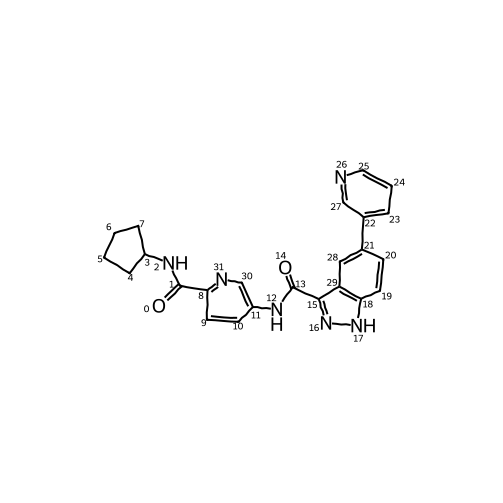 O=C(NC1CCCC1)c1ccc(NC(=O)c2n[nH]c3ccc(-c4cccnc4)cc23)cn1